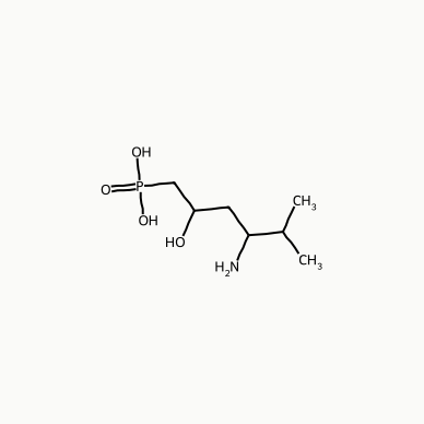 CC(C)C(N)CC(O)CP(=O)(O)O